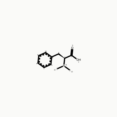 O=C(O)[C@H](Cc1ccccc1)N(I)I